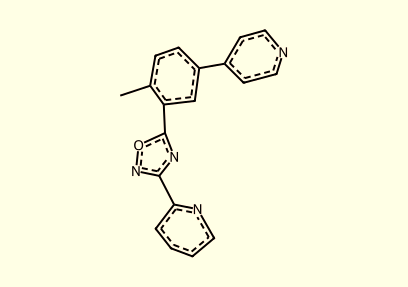 Cc1ccc(-c2ccncc2)cc1-c1nc(-c2ccccn2)no1